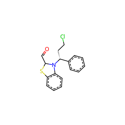 O=CC1Sc2ccccc2N1[C@H](CCCl)c1ccccc1